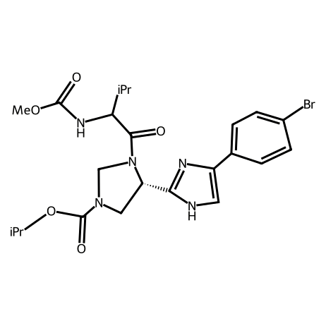 COC(=O)NC(C(=O)N1CN(C(=O)OC(C)C)C[C@H]1c1nc(-c2ccc(Br)cc2)c[nH]1)C(C)C